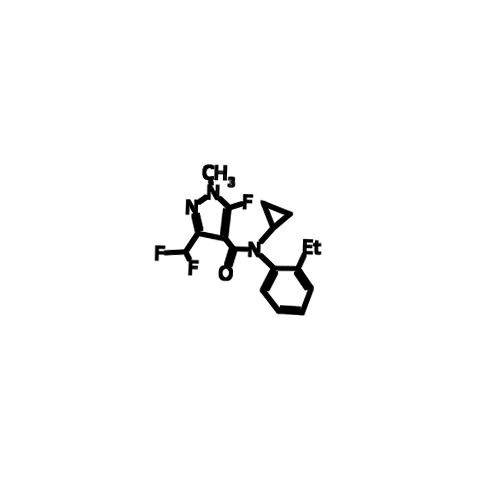 CCc1ccccc1N(C(=O)c1c(C(F)F)nn(C)c1F)C1CC1